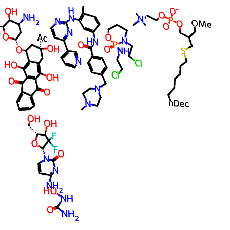 CC(=O)[C@]1(O)Cc2c(O)c3c(c(O)c2[C@@H](O[C@H]2C[C@H](N)[C@H](O)[C@H](C)O2)C1)C(=O)c1ccccc1C3=O.CCCCCCCCCCCCCCCCSCC(COC)COP(=O)([O-])OCC[N+](C)(C)C.Cc1ccc(NC(=O)c2ccc(CN3CCN(C)CC3)cc2)cc1Nc1nccc(-c2cccnc2)n1.NC(=O)NO.Nc1ccn([C@@H]2O[C@H](CO)[C@@H](O)C2(F)F)c(=O)n1.O=P1(NCCCl)OCCCN1CCCl